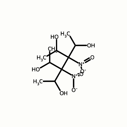 CC(O)C(C(C)O)([N+](=O)[O-])C(C(C)O)(C(C)O)[N+](=O)[O-]